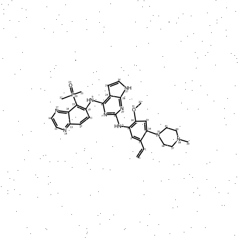 C=Cc1cc(Nc2nc(Nc3ccc4nccnc4c3P(C)(C)=O)c3cc[nH]c3n2)c(OC)cc1N1CCN(C)CC1